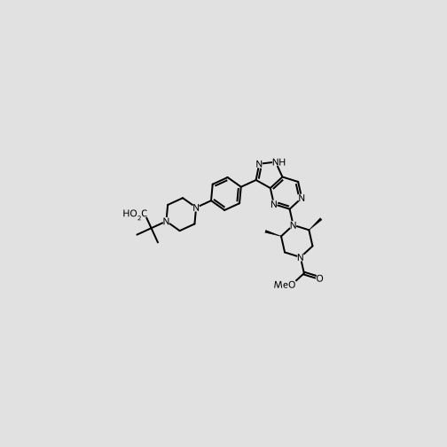 COC(=O)N1C[C@@H](C)N(c2ncc3[nH]nc(-c4ccc(N5CCN(C(C)(C)C(=O)O)CC5)cc4)c3n2)[C@@H](C)C1